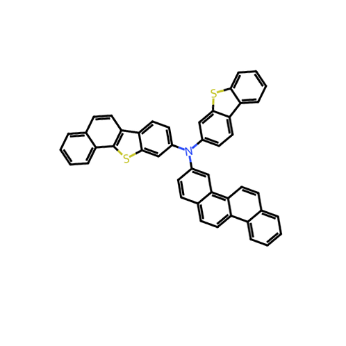 c1ccc2c(c1)ccc1c3cc(N(c4ccc5c(c4)sc4ccccc45)c4ccc5c(c4)sc4c6ccccc6ccc54)ccc3ccc21